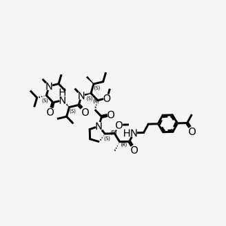 CC[C@H](C)[C@@H]([C@@H](CC(=O)N1CCC[C@H]1[C@H](OC)[C@@H](C)C(=O)NCCc1ccc(C(C)=O)cc1)OC)N(C)C(=O)[C@@H](NC(=O)[C@H](C(C)C)N(C)C(C)C)C(C)C